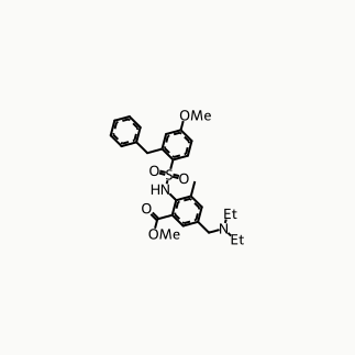 CCN(CC)Cc1cc(C)c(NS(=O)(=O)c2ccc(OC)cc2Cc2ccccc2)c(C(=O)OC)c1